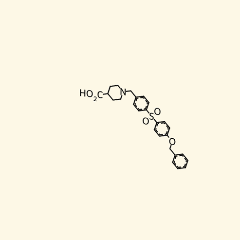 O=C(O)C1CCN(Cc2ccc(S(=O)(=O)c3ccc(OCc4ccccc4)cc3)cc2)CC1